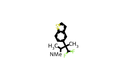 CNC(C)C(C)(c1ccc2sccc2c1)C(F)F